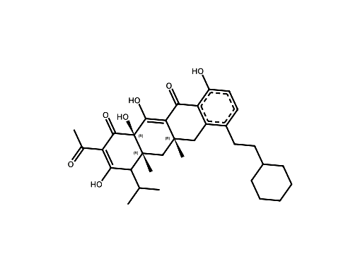 CC(=O)C1=C(O)C(C(C)C)[C@@]2(C)C[C@@]3(C)Cc4c(CCC5CCCCC5)ccc(O)c4C(=O)C3=C(O)[C@@]2(O)C1=O